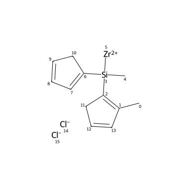 CC1=C([Si](C)([Zr+2])C2=CC=CC2)CC=C1.[Cl-].[Cl-]